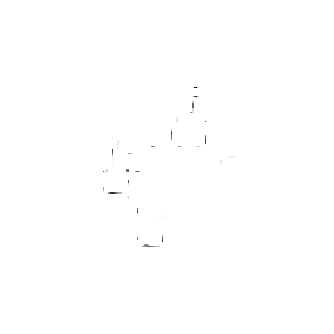 Cc1ccc(C2CC3C=CC2C3)n1CCC1CC(O)CC(=O)O1